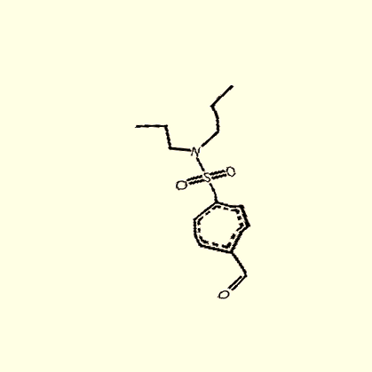 CCCN(CCC)S(=O)(=O)c1ccc(C=O)cc1